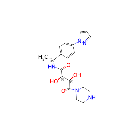 C[C@@H](NC(=O)[C@H](O)[C@@H](O)C(=O)N1CCNCC1)c1ccc(-n2cccn2)cc1